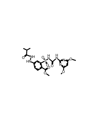 COC(=O)c1ccc(NNC(=O)C(C)C)cc1S(=O)(=O)NC(=O)Nc1nc(OC)cc(OC)n1